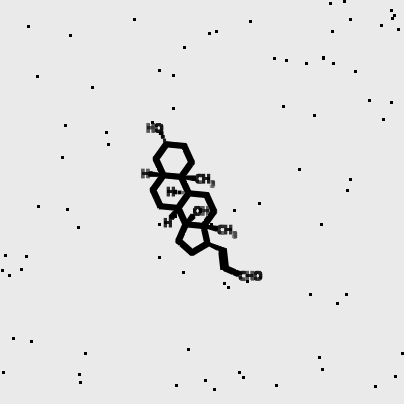 C[C@]12CC[C@@H](O)C[C@H]1CC[C@@H]1[C@@H]2CC[C@]2(C)[C@@H](/C=C/C=O)CC[C@]12O